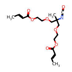 CC=CC(=O)OCCOCC(C)(COCCOC(=O)C=CC)N=C=O